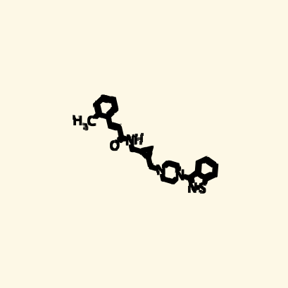 Cc1ccccc1/C=C/C(=O)NCC1CC1CN1CCN(c2nsc3ccccc23)CC1